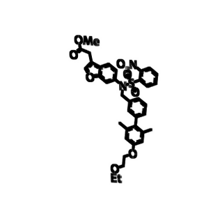 CCOCCOc1cc(C)c(-c2cccc(CN(c3ccc4c(CC(=O)OC)coc4c3)S(=O)(=O)c3ccccc3[N+](=O)[O-])c2)c(C)c1